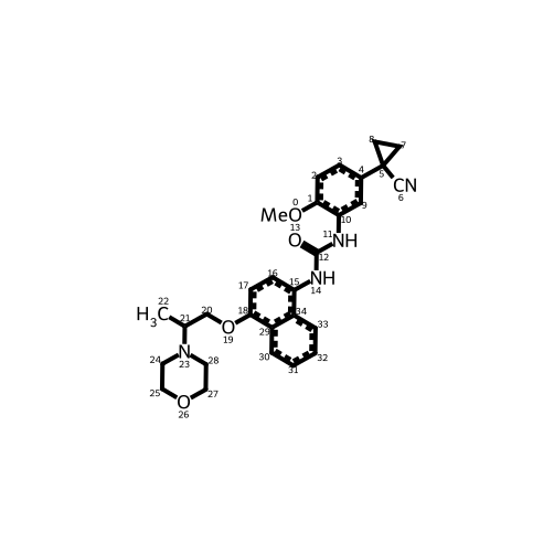 COc1ccc(C2(C#N)CC2)cc1NC(=O)Nc1ccc(OCC(C)N2CCOCC2)c2ccccc12